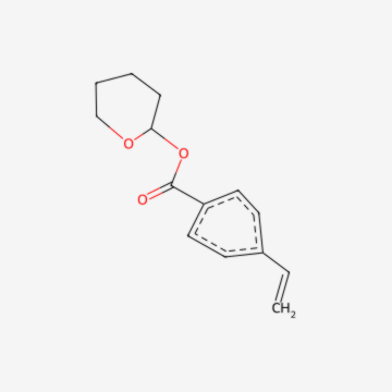 C=Cc1ccc(C(=O)OC2CCCCO2)cc1